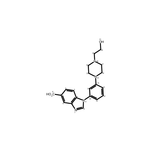 O=C(O)c1ccc2c(c1)ncn2-c1cccc(N2CCN(CCO)CC2)c1